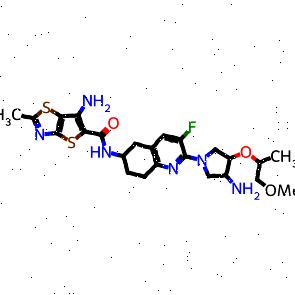 COCC(C)OC1CN(c2nc3c(cc2F)CC(NC(=O)c2sc4nc(C)sc4c2N)CC3)CC1N